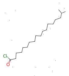 CC(C)CCCCCCCCCCCCCCCC(=O)Cl